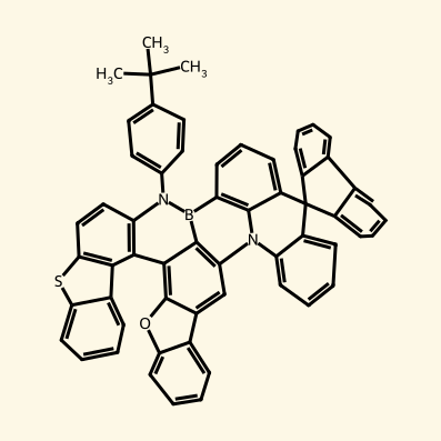 CC(C)(C)c1ccc(N2B3c4cccc5c4N(c4ccccc4C54c5ccccc5-c5ccccc54)c4cc5c(oc6ccccc65)c(c43)-c3c2ccc2sc4ccccc4c32)cc1